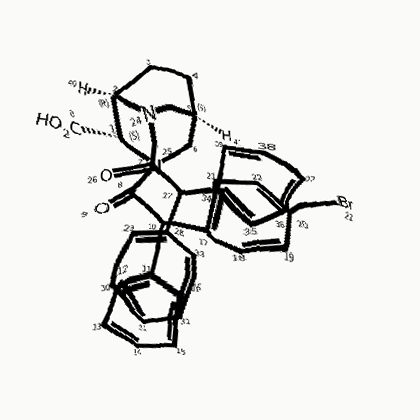 O=C(O)[C@@H]1[C@H]2CC[C@@H](CN1C(=O)C(c1ccccc1)c1ccc(Br)cc1)N2C(=O)C(c1ccccc1)c1ccccc1